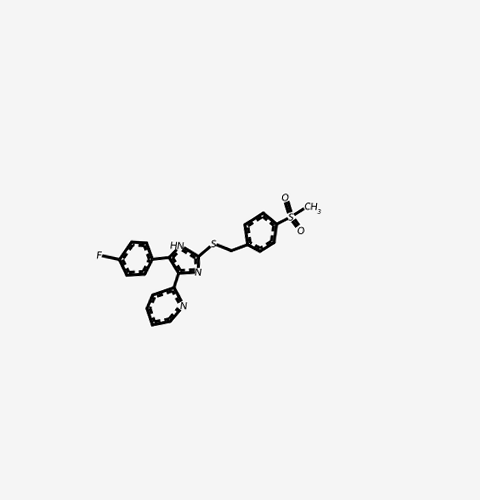 CS(=O)(=O)c1ccc(CSc2nc(-c3ccccn3)c(-c3ccc(F)cc3)[nH]2)cc1